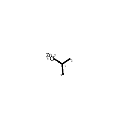 CC(C)Cl.[Zn]